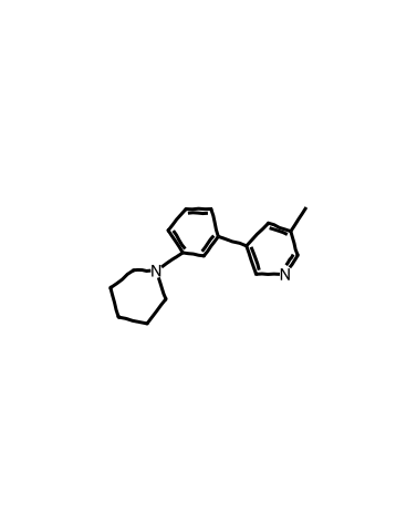 Cc1cncc(-c2cccc(N3CCCCC3)c2)c1